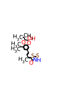 CC(C=Cc1ccc(OC(C(=O)O)C(C)C)c(C(C)C)c1)=C1SC(=S)NC1=O